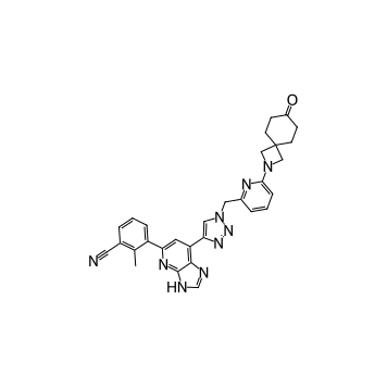 Cc1c(C#N)cccc1-c1cc(-c2cn(Cc3cccc(N4CC5(CCC(=O)CC5)C4)n3)nn2)c2nc[nH]c2n1